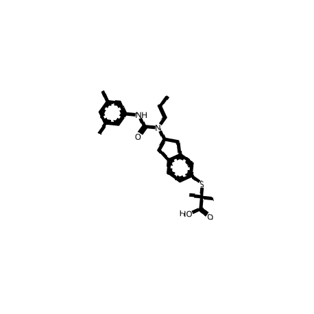 CCCN(C(=O)Nc1cc(C)cc(C)c1)C1Cc2ccc(SC(C)(C)C(=O)O)cc2C1